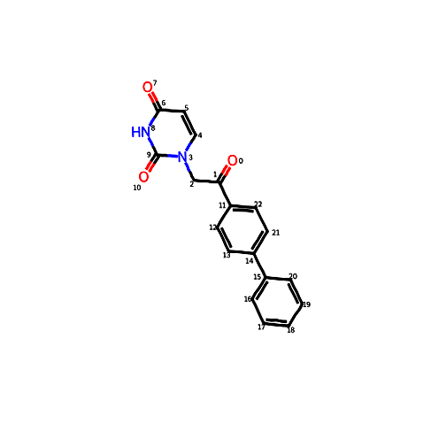 O=C(Cn1ccc(=O)[nH]c1=O)c1ccc(-c2ccccc2)cc1